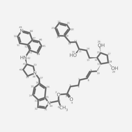 CC(OC(=O)CCC/C=C/C[C@@H]1[C@@H](CC[C@@H](O)CCc2ccccc2)[C@H](O)C[C@@H]1O)n1ccc2ccc(CN3CC[C@@H](Nc4cccc5cnccc45)C3)cc21